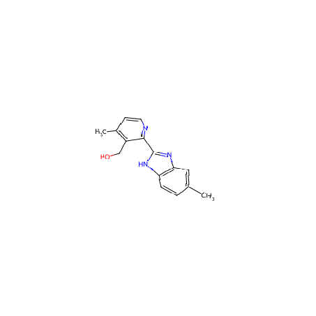 Cc1ccc2[nH]c(-c3nccc(C)c3CO)nc2c1